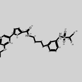 CCOc1cncc(-c2ccc(C(=O)NCCCCc3cccc(NS(=O)(=O)C(F)F)c3)s2)n1